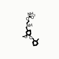 COc1cc(CNCCOC(N)=O)ccc1OCc1ccccc1C